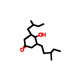 CCC(C)CCC1CC(=O)CC(CC(C)CC)C1O